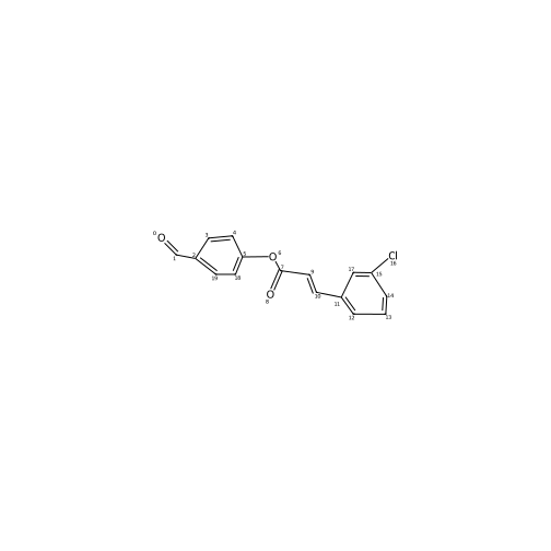 O=Cc1ccc(OC(=O)/C=C/c2cccc(Cl)c2)cc1